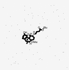 CO[C@@]12CC[C@H](NCCCC(=O)OC(C)(C)C)[C@@H]3Oc4c(O)ccc5c4[C@@]31CCN(C)[C@@H]2C5